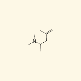 C=C(C)[CH]C(C)N(C)C